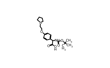 CC(C)(C)OC(=O)NC(C(=O)O)c1ccc(OCCN2CCCC2)cc1